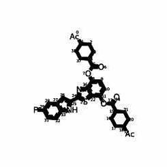 CC(=O)C1CCC(C(=O)Oc2ccc(OC(=O)C3CCC(C(C)=O)CC3)c3sc(-c4cc5cc(F)ccc5[nH]4)nc23)CC1